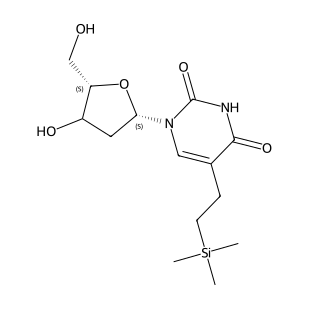 C[Si](C)(C)CCc1cn([C@@H]2CC(O)[C@H](CO)O2)c(=O)[nH]c1=O